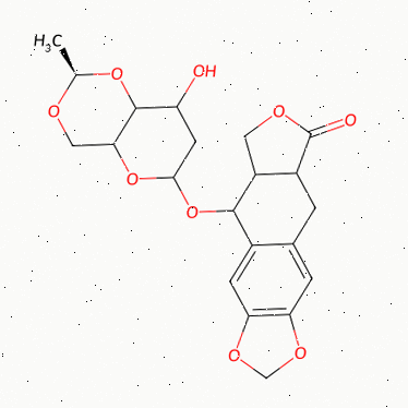 C[C@@H]1OCC2OC(OC3c4cc5c(cc4CC4C(=O)OCC43)OCO5)CC(O)C2O1